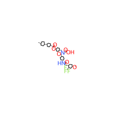 COc1ccc(CC(=O)Nc2ccc(C(=O)N(CC(=O)O)Cc3ccc(OC(=O)c4ccc(-c5ccc(C)cc5)cc4)cc3)cc2)c(C(F)(F)F)c1